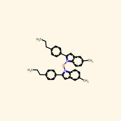 CCCc1ccc(-c2cc3cc(C)ccc3n2On2c(-c3ccc(CCC)cc3)cc3cc(C)ccc32)cc1